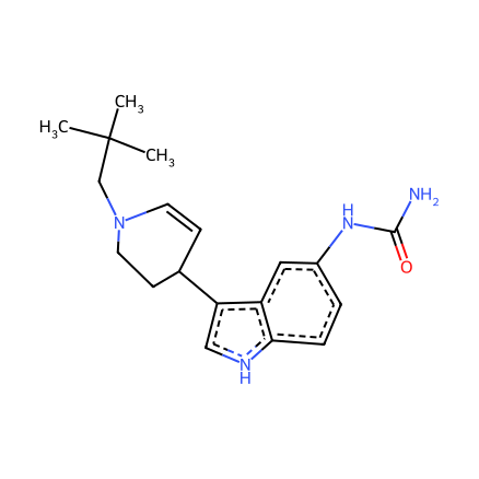 CC(C)(C)CN1C=CC(c2c[nH]c3ccc(NC(N)=O)cc23)CC1